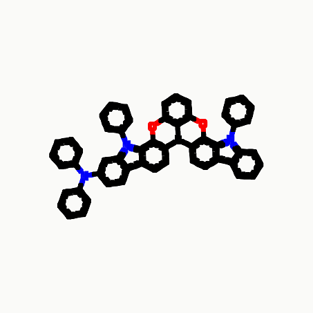 c1ccc(N(c2ccccc2)c2ccc3c4ccc5c(c4n(-c4ccccc4)c3c2)Oc2cccc3c2B5c2ccc4c5ccccc5n(-c5ccccc5)c4c2O3)cc1